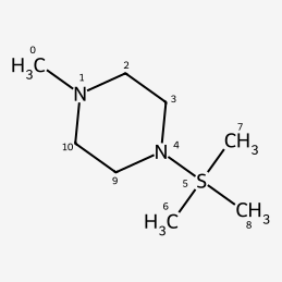 CN1CCN(S(C)(C)C)CC1